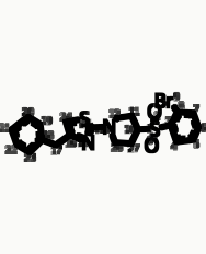 O=S(=O)(c1ccccc1Br)C1CCN(c2nc(Cc3ccccc3)cs2)CC1